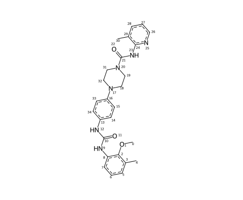 COc1c(C)cccc1NC(=O)Nc1ccc(N2CCN(C(=O)Nc3ncccc3C)CC2)cc1